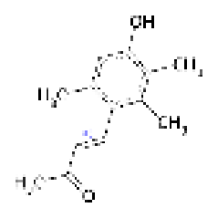 CC(=O)/C=C/c1c(C)cc(O)c(C)c1C